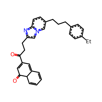 CCc1ccc(CCCc2ccc3nc(CCC(=O)C4=CC(=O)C5C=CC=CC5=C4)cn3c2)cc1